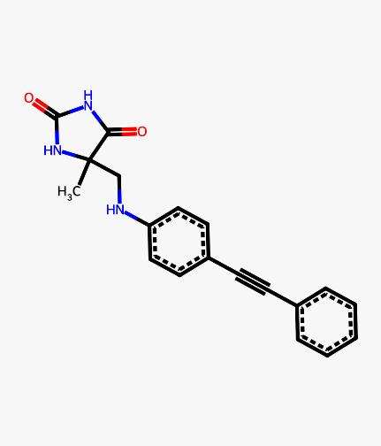 CC1(CNc2ccc(C#Cc3ccccc3)cc2)NC(=O)NC1=O